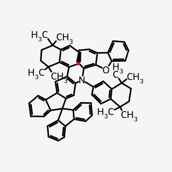 CC1(C)CCC(C)(C)c2cc(N(c3cc4c(cc3-c3cccc5c3C(C)(C)CCC5(C)C)-c3ccccc3C43c4ccccc4-c4ccccc43)c3cccc4c3oc3ccccc34)ccc21